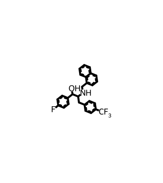 OC(c1ccc(F)cc1)C(Cc1ccc(C(F)(F)F)cc1)NCc1cccc2ccccc12